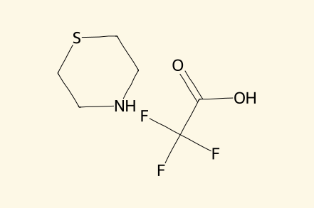 C1CSCCN1.O=C(O)C(F)(F)F